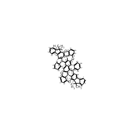 CC1(C)c2ccccc2-c2cc3c4c(oc5cccc6oc7cc8c(cc9oc%10cccc%11oc%12c%13c(cc%14c%12p(c%10%11)c9c8n%14-c8ccccc8)-c8ccccc8C%13(C)C)c(c7p4c65)n3-c3ccccc3)c21